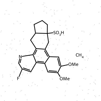 C.COc1cc2c3c(c4ncc(F)cc4c2cc1OC)CC1CCCC1(S(=O)(=O)O)C3